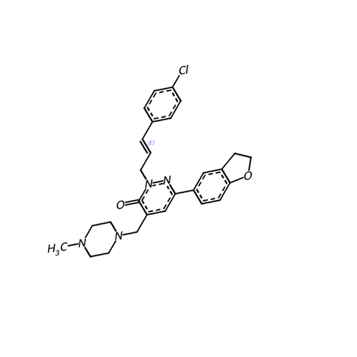 CN1CCN(Cc2cc(-c3ccc4c(c3)CCO4)nn(C/C=C/c3ccc(Cl)cc3)c2=O)CC1